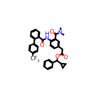 CN(C)C(=O)c1cc(CC(=O)OC(c2ccccc2)C2CC2)ccc1NC(=O)c1ccccc1-c1ccc(C(F)(F)F)cc1